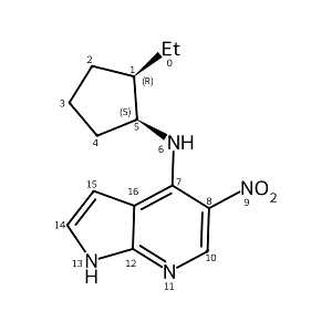 CC[C@@H]1CCC[C@@H]1Nc1c([N+](=O)[O-])cnc2[nH]ccc12